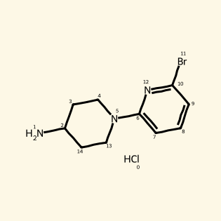 Cl.NC1CCN(c2cccc(Br)n2)CC1